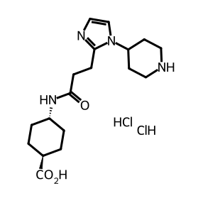 Cl.Cl.O=C(CCc1nccn1C1CCNCC1)N[C@H]1CC[C@H](C(=O)O)CC1